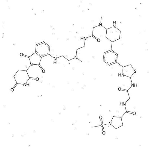 CN(CCNC(=O)CN(C)C1CC(c2cccc(C3CSC(NC(=O)CNC(=O)C4CCN(S(C)(=O)=O)C4)N3)c2)CCN1)CCNc1cccc2c1C(=O)N(C1CCC(=O)NC1=O)C2=O